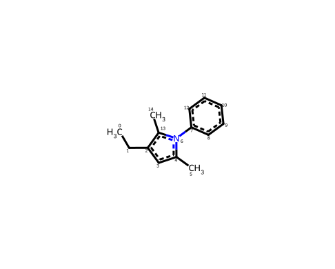 CCc1cc(C)n(-c2ccccc2)c1C